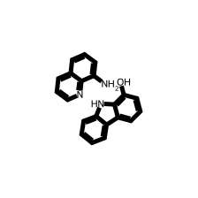 Nc1cccc2cccnc12.Oc1cccc2c1[nH]c1ccccc12